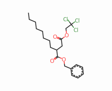 CCCCCCCCC(CC(=O)OCC(Cl)(Cl)Cl)C(=O)OCc1ccccc1